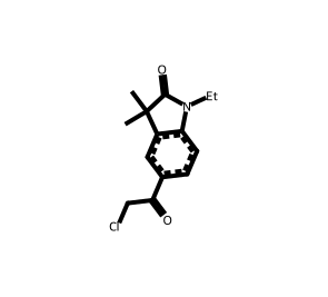 CCN1C(=O)C(C)(C)c2cc(C(=O)CCl)ccc21